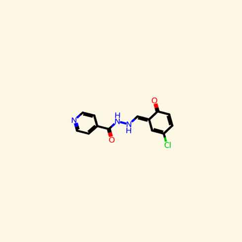 O=C1C=CC(Cl)=C/C1=C\NNC(=O)c1ccncc1